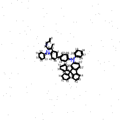 C=C/C=C\c1c(C)c2cc(-c3ccc(N(c4ccccc4)c4ccc5c(c4)C(c4ccccc4)(c4ccccc4)c4ccccc4-5)cc3)ccc2n1-c1ccccc1